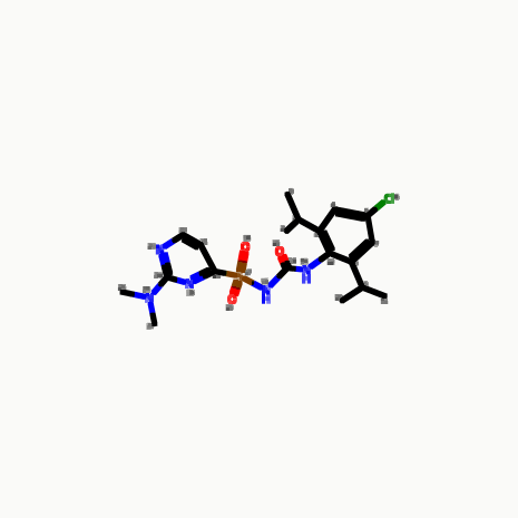 CC(C)c1cc(Cl)cc(C(C)C)c1NC(=O)NS(=O)(=O)c1ccnc(N(C)C)n1